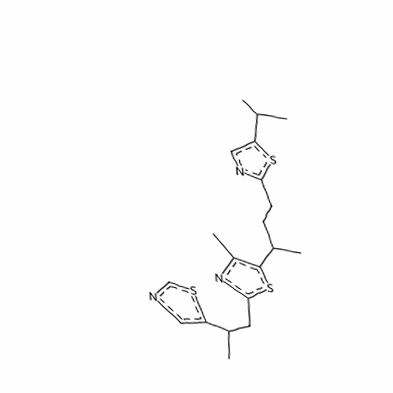 Cc1nc(CC(C)c2cncs2)sc1C(C)CCc1ncc(C(C)C)s1